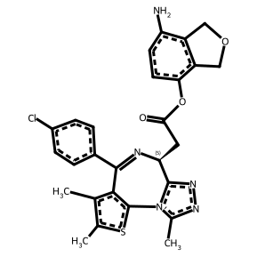 Cc1sc2c(c1C)C(c1ccc(Cl)cc1)=N[C@@H](CC(=O)Oc1ccc(N)c3c1COC3)c1nnc(C)n1-2